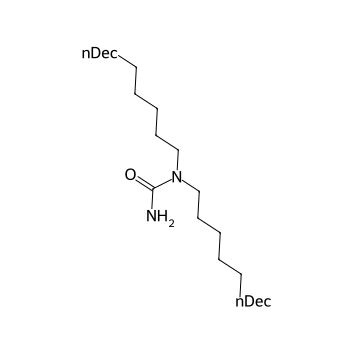 CCCCCCCCCCCCCCCN(CCCCCCCCCCCCCCC)C(N)=O